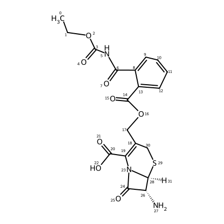 CCOC(=O)NC(=O)c1ccccc1C(=O)OCC1=C(C(=O)O)N2C(=O)[C@@H](N)[C@@H]2SC1